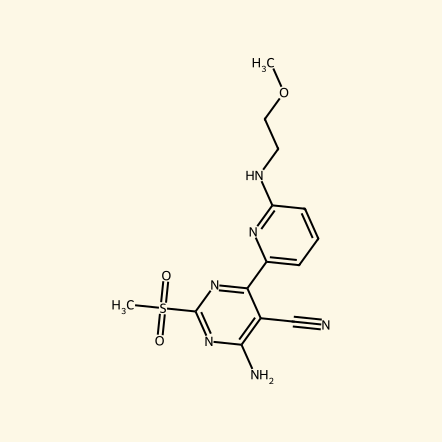 COCCNc1cccc(-c2nc(S(C)(=O)=O)nc(N)c2C#N)n1